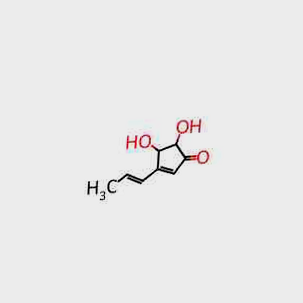 C/C=C/C1=CC(=O)C(O)C1O